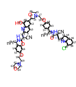 CCCC(NC(=O)/C(C#N)=C/c1ccc2cc(C3CN(CCOc4ccc(C(CCC)NC(=O)/C(C#N)=C/c5ccc6cccc(Cl)c6n5)cc4)CCO3)cc(O)c2n1)c1ccc(OCCN2CCOCC2)cc1